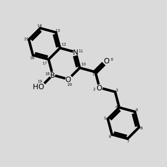 O=C(OCc1ccccc1)C1=Nc2ccccc2B(O)O1